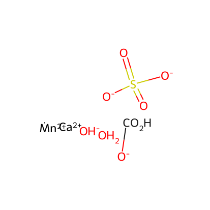 O.O=C([O-])O.O=S(=O)([O-])[O-].[Ca+2].[Mn+2].[OH-]